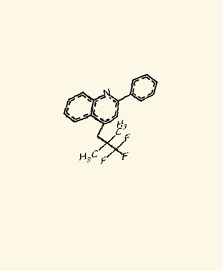 CC(C)(Cc1cc(-c2ccccc2)nc2ccccc12)C(F)(F)F